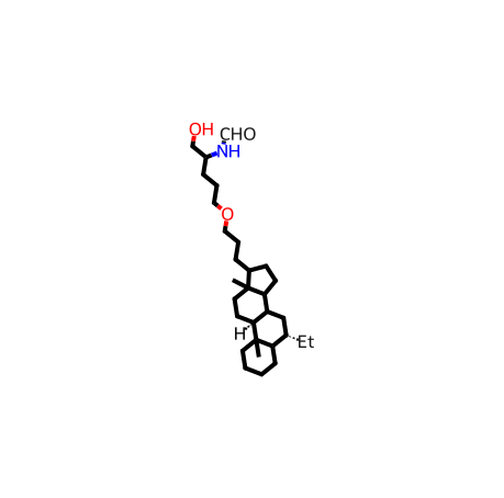 CC[C@H]1CC2C3CCC(CCCOCCCC(CO)NC=O)C3(C)CC[C@@H]2C2(C)CCCCC12